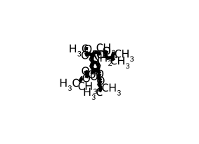 CCC(C)CC(=O)OC(C)C[C@@](N)(Cc1ccc(OC(=O)OCC(C)C)c(OC(=O)OCC(C)C)c1)C(=O)OC